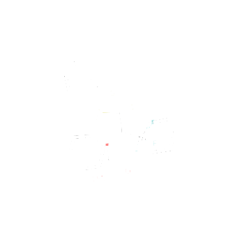 O=C(O)CC(C(F)(F)F)C(Sc1ccccc1)(Sc1ccccc1)Sc1ccccc1